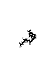 Cc1cc(C(C)C)cc2c1OC(C)(CCCC(C)CCCC(C)CCCC(C)C)CC2